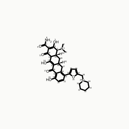 CN(C)[C@@H]1C(O)=C(C(N)=O)C(=O)C2C(O)=C3C(=O)c4c(O)ccc(-c5ccc(CN6CCCCC6)o5)c4C[C@H]3C[C@H]21